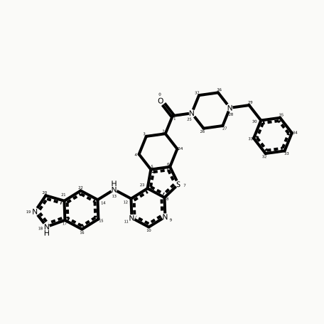 O=C(C1CCc2c(sc3ncnc(Nc4ccc5[nH]ncc5c4)c23)C1)N1CCN(Cc2ccccc2)CC1